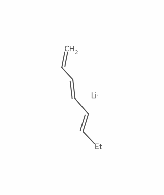 C=CC=CC=CCC.[Li]